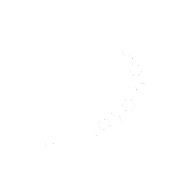 NCCCCCCNc1ccc(NC(=O)c2ccc(CN(C(=O)c3ccc4c(c3)OCC(=O)N4)C3CC3)cc2)cc1